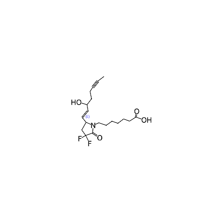 CC#CCCC(O)/C=C/C1CC(F)(F)C(=O)N1CCCCCCC(=O)O